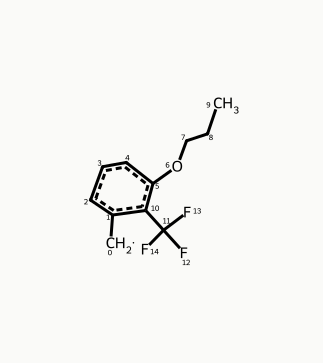 [CH2]c1cccc(OCCC)c1C(F)(F)F